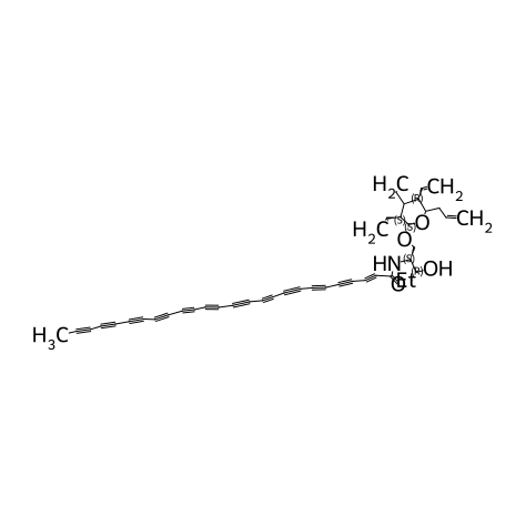 C=CCC1O[C@H](OC[C@H](NC(=O)C#CC#CC#CC#CC#CC#CC#CC#CC#CC#CC#CC#CC)[C@H](O)CC)[C@@H](C=C)C(C=C)[C@H]1C=C